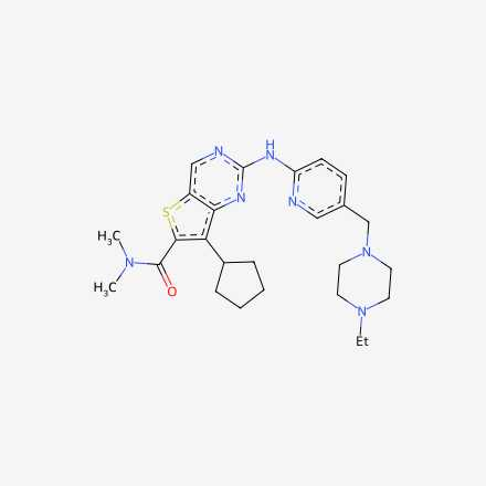 CCN1CCN(Cc2ccc(Nc3ncc4sc(C(=O)N(C)C)c(C5CCCC5)c4n3)nc2)CC1